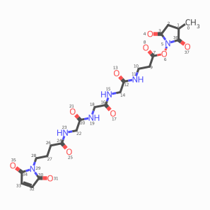 CC1CC(=O)N(OC(=O)CCNC(=O)CNC(=O)CNC(=O)CNC(=O)CCCN2C(=O)C=CC2=O)C1=O